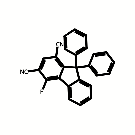 N#Cc1cc(C#N)c2c(c1F)-c1ccccc1C2(c1ccccc1)c1ccccc1